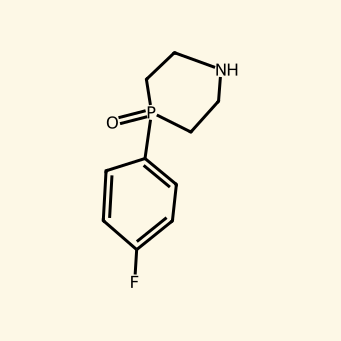 O=P1(c2ccc(F)cc2)CCNCC1